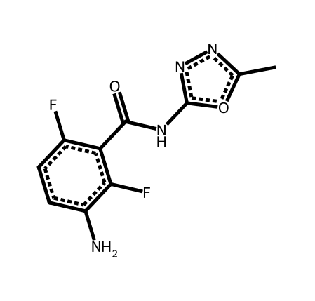 Cc1nnc(NC(=O)c2c(F)ccc(N)c2F)o1